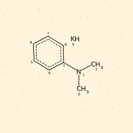 CN(C)c1ccccc1.[KH]